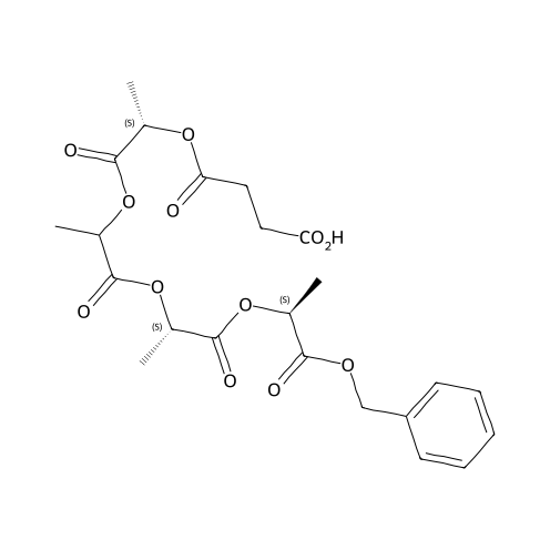 CC(OC(=O)[C@H](C)OC(=O)CCC(=O)O)C(=O)O[C@@H](C)C(=O)O[C@@H](C)C(=O)OCc1ccccc1